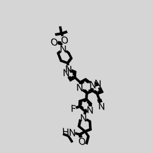 CCC1(C(=O)NC(C)C)CCN(c2ncc(-c3nc(-c4cnn(C5CCN(C(=O)OC(C)(C)C)CC5)c4)cn4ncc(C#N)c34)cc2F)CC1